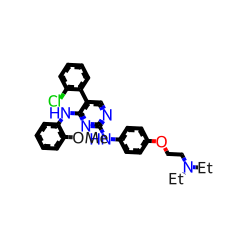 CCN(CC)CCOc1ccc(Nc2ncc(-c3ccccc3Cl)c(Nc3ccccc3OC)n2)cc1